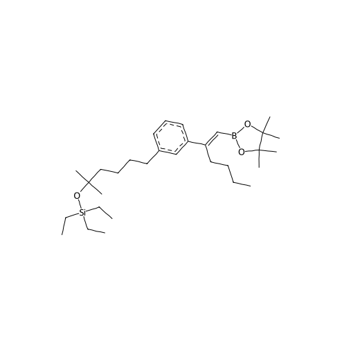 CCCC/C(=C\B1OC(C)(C)C(C)(C)O1)c1cccc(CCCCC(C)(C)O[Si](CC)(CC)CC)c1